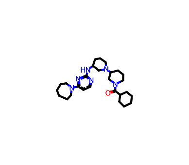 O=C(C1CCCCC1)N1CCCC(N2CCCC(Nc3nccc(N4CCCCCC4)n3)C2)C1